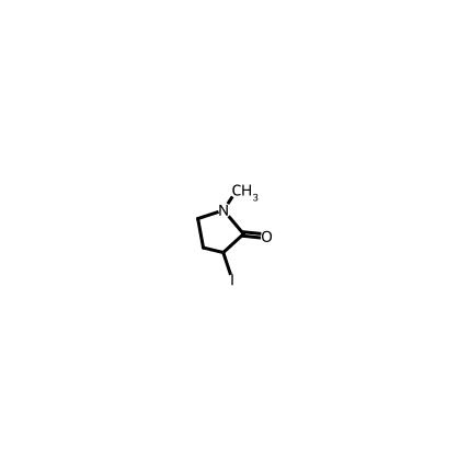 CN1CCC(I)C1=O